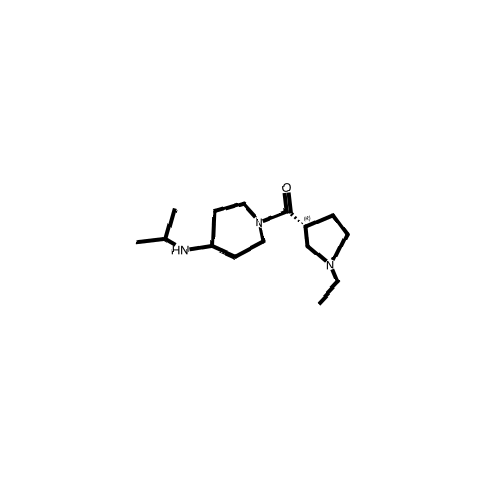 CCN1CC[C@@H](C(=O)N2CCC(NC(C)C)CC2)C1